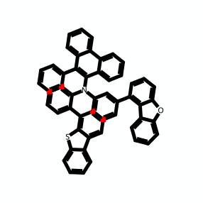 c1ccc(-c2c(N(c3cccc(-c4cccc5oc6ccccc6c45)c3)c3ccccc3-c3cccc4c3sc3ccccc34)c3ccccc3c3ccccc23)cc1